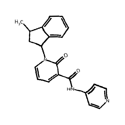 CC1CC(n2cccc(C(=O)Nc3ccncc3)c2=O)c2ccccc21